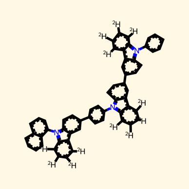 [2H]c1c([2H])c([2H])c2c(c1[2H])c1cc(-c3ccc4c(c3)c3c([2H])c([2H])c([2H])c([2H])c3n4-c3ccc(-c4ccc5c(c4)c4c([2H])c([2H])c([2H])c([2H])c4n5-c4cccc5ccccc45)cc3)ccc1n2-c1ccccc1